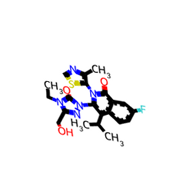 CCn1c(CO)nn(-c2c(C(C)C)c3ccc(F)cc3c(=O)n2-c2scnc2C)c1=O